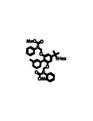 CCCCCCC(C)(C)c1cc(OCN(C(=O)OC)c2ccccc2)c(C2C=C(C)CCC2)c(OCN(C(=O)OC)c2ccccc2)c1